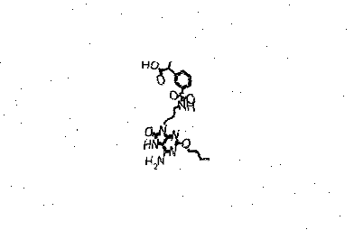 CCCCOc1nc(N)c2[nH]c(=O)n(CCCNS(=O)(=O)c3cccc(C(C)C(=O)O)c3)c2n1